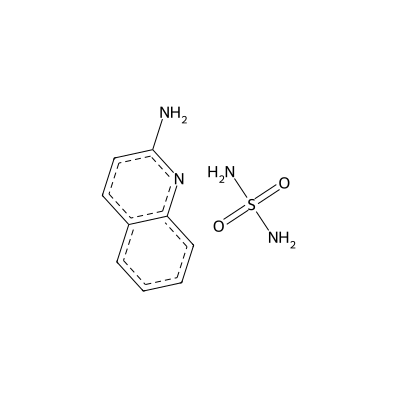 NS(N)(=O)=O.Nc1ccc2ccccc2n1